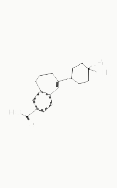 CC1(C)CCC(C2=Cc3ccc(C(=O)O)cc3CCC2)CC1